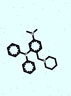 CN(C)c1ccc(CN2CCCCC2)c(P(c2ccccc2)c2ccccc2)c1